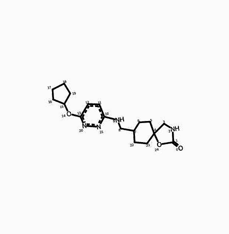 O=C1NCC2(CCC(CNc3ccc(OC4CCCC4)nn3)CC2)O1